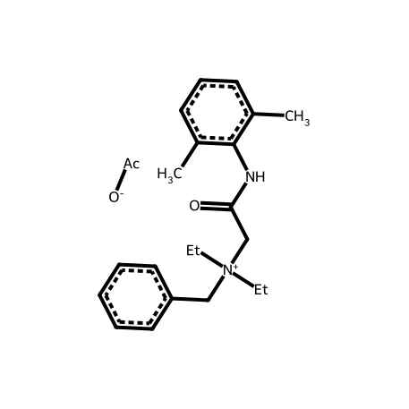 CC(=O)[O-].CC[N+](CC)(CC(=O)Nc1c(C)cccc1C)Cc1ccccc1